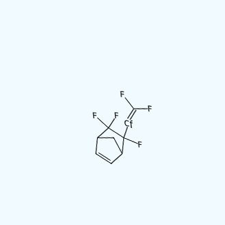 F[C](F)=[Cf][C]1(F)C2C=CC(C2)C1(F)F